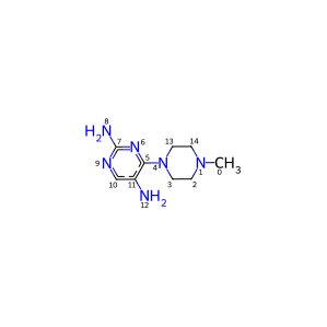 CN1CCN(c2nc(N)ncc2N)CC1